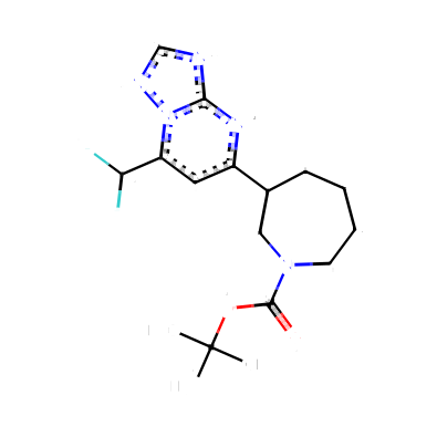 CC(C)(C)OC(=O)N1CCCCC(c2cc(C(F)F)n3ncnc3n2)C1